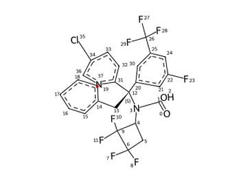 O=C(O)N(C1CC(F)(F)C1(F)F)[C@@](Cc1ccccc1)(c1cc(F)cc(C(F)(F)F)c1)c1ccc(Cl)cn1